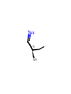 [CH2][C@H](C=N)CC